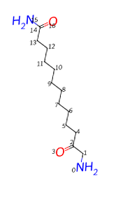 NCC(=O)CCCCCCCCCCC(N)=O